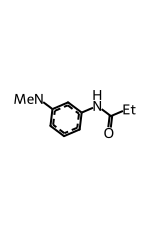 CCC(=O)Nc1cccc(NC)c1